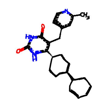 Cc1cc(Cc2c(=O)[nH]c(=O)[nH]c2[C@H]2CC[C@H](C3C=CC=CC3)CC2)ccn1